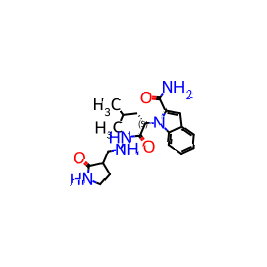 CC(C)C[C@@H](C(=O)NNCC1CCNC1=O)n1c(C(N)=O)cc2ccccc21